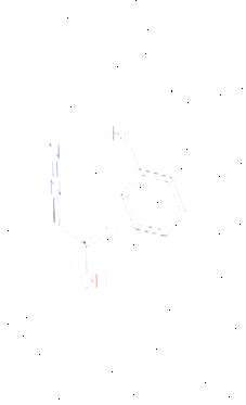 Brc1ccccc1.[N-]=[N+]=CC(=O)O